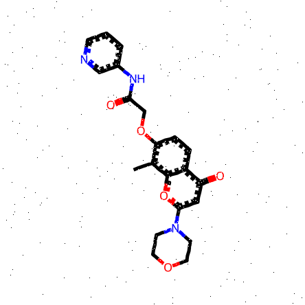 Cc1c(OCC(=O)Nc2cccnc2)ccc2c(=O)cc(N3CCOCC3)oc12